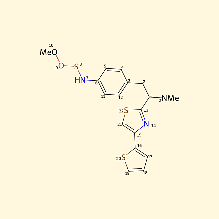 CNC(Cc1ccc(NSOOC)cc1)c1nc(-c2cccs2)cs1